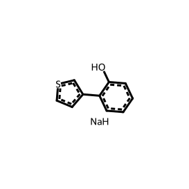 Oc1ccccc1-c1ccsc1.[NaH]